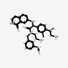 Cc1cc(C(Nc2ccc3cc[nH]c(=O)c3c2)C(=O)N(CCO)Cc2cccc(N=O)c2)ccc1[C@@H](C)CO